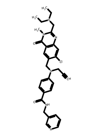 C#CCN(Cc1cc2c(=O)n(C)c(CN(CC)CC)nc2cc1Cl)c1ccc(C(=O)NCc2cccnc2)cc1